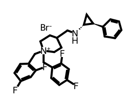 Fc1ccc(C[N+]2(Cc3ccc(F)cc3F)CCC(CN[C@@H]3C[C@H]3c3ccccc3)CC2)c(F)c1.[Br-]